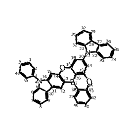 c1ccc(-n2c3ccccc3c3cc4c(cc32)Oc2cc(-n3c5ccccc5c5ccccc53)cc3c2B4c2ccccc2O3)cc1